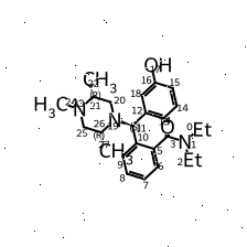 CCN(CC)C(=O)c1ccccc1[C@H](c1cccc(O)c1)N1C[C@@H](C)N(C)C[C@H]1C